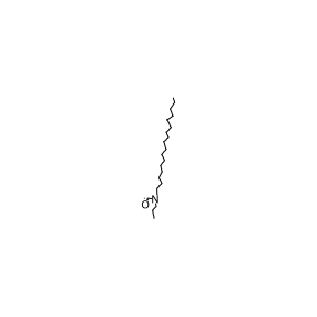 CCCCCCCCCCCCCCCCCCN([C]=O)CCC